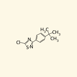 CC(C)(C)c1ccc(-c2nsc(Cl)n2)cc1